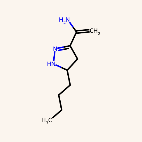 C=C(N)C1=NNC(CCCC)C1